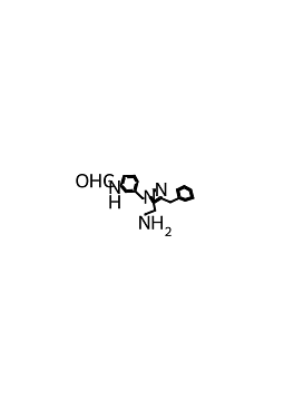 NCCc1c(Cc2ccccc2)ncn1Cc1cccc(NC=O)c1